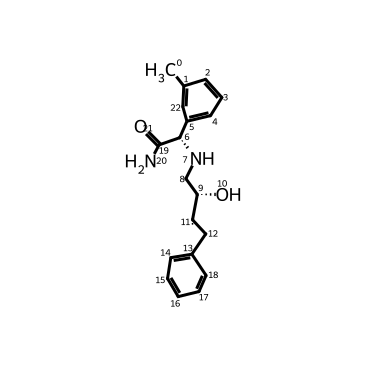 Cc1cccc([C@H](NC[C@H](O)[CH]Cc2ccccc2)C(N)=O)c1